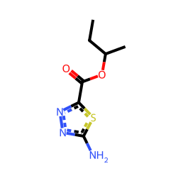 CCC(C)OC(=O)c1nnc(N)s1